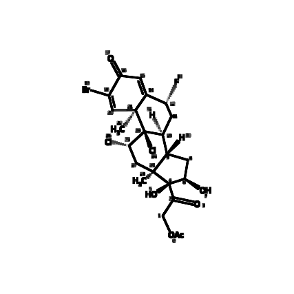 CC(=O)OCC(=O)[C@@]1(O)[C@H](O)C[C@H]2[C@@H]3C[C@@H](F)C4=CC(=O)C(Br)=C[C@]4(C)[C@@]3(Cl)[C@@H](Cl)C[C@@]21C